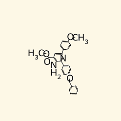 COC(=O)c1cc(-c2ccc(OC)cc2)nc(-c2ccc(OCc3ccccc3)cc2)c1N